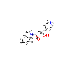 O=C(C[C@@H](O)c1ccncc1)N1CCc2ccccc21